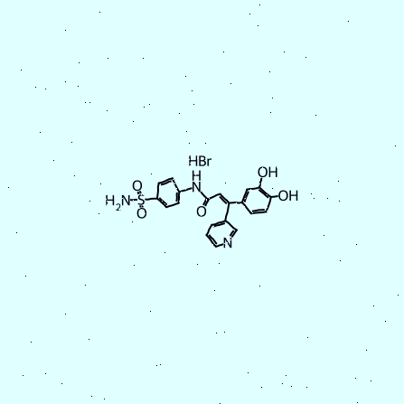 Br.NS(=O)(=O)c1ccc(NC(=O)C=C(c2cccnc2)c2ccc(O)c(O)c2)cc1